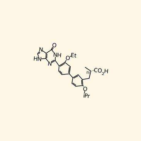 CCOc1cc(-c2ccc(OC(C)C)c(C[C@H](C)C(=O)O)c2)ccc1-c1nc2[nH]cnc2c(=O)[nH]1